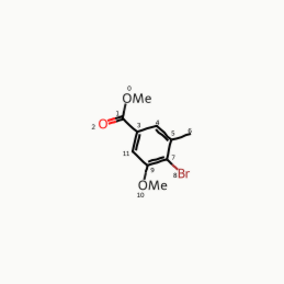 COC(=O)c1cc(C)c(Br)c(OC)c1